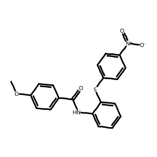 COc1ccc(C(=O)Nc2ccccc2Sc2ccc([N+](=O)[O-])cc2)cc1